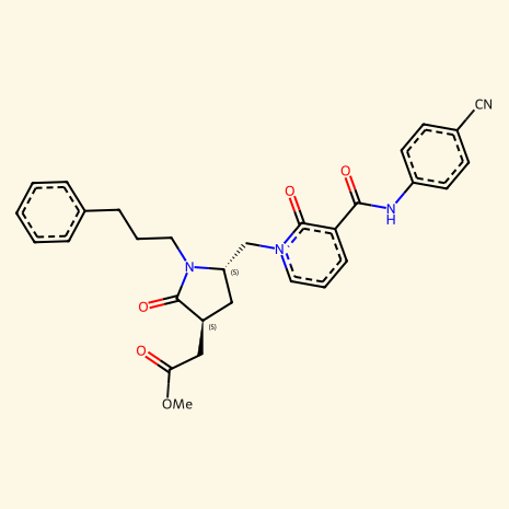 COC(=O)C[C@@H]1C[C@@H](Cn2cccc(C(=O)Nc3ccc(C#N)cc3)c2=O)N(CCCc2ccccc2)C1=O